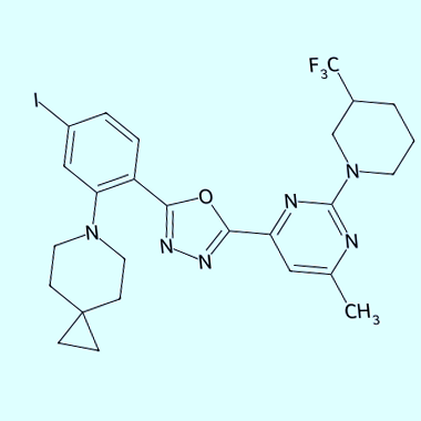 Cc1cc(-c2nnc(-c3ccc(I)cc3N3CCC4(CC3)CC4)o2)nc(N2CCCC(C(F)(F)F)C2)n1